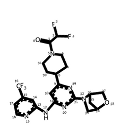 O=C(C(F)F)N1CCC(c2cc(Nc3cc(C(F)(F)F)ccn3)nc(N3CC4CC3CO4)n2)CC1